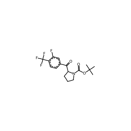 CC(C)(C)OC(=O)N1CCCC1C(=O)c1ccc(C(F)(F)F)c(F)c1